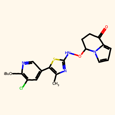 Cc1nc(NOC2CCC(=O)c3cccn32)sc1-c1cnc(OCC(C)C)c(Cl)c1